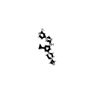 Fc1cc(-n2cnc(Nc3cc(C4CC4)cc(N4CCN(C5COC5)CC4)c3)n2)ccn1